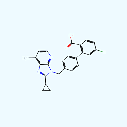 Cc1ccnc2c1nc(C1CC1)n2Cc1ccc(-c2cc(Cl)ccc2C(=O)O)cc1